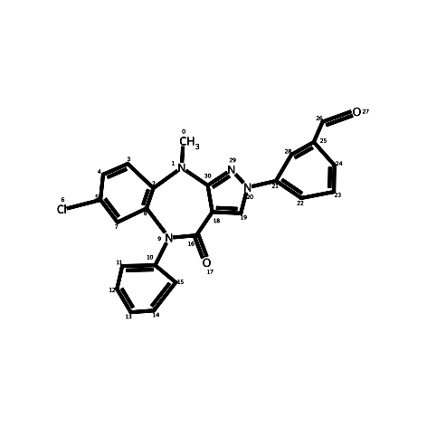 CN1c2ccc(Cl)cc2N(c2ccccc2)C(=O)c2cn(-c3cccc(C=O)c3)nc21